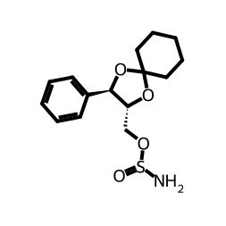 NS(=O)OC[C@H]1OC2(CCCCC2)O[C@@H]1c1ccccc1